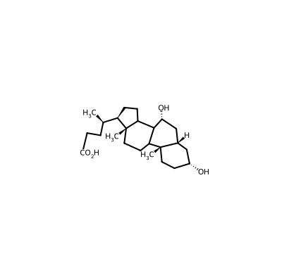 C[C@H](CCC(=O)O)[C@H]1CCC2C3C(CC[C@@]21C)[C@@]1(C)CC[C@@H](O)C[C@H]1C[C@H]3O